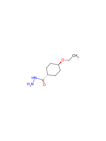 CCO[C@H]1CC[C@H](C(=O)NN)CC1